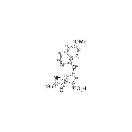 COc1ccc2c(OC3CC(C(=O)O)N(C(=O)C(N)C(C)(C)C)C3)nccc2c1